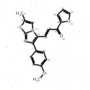 COc1ccc(-c2nc3sc(C)cn3c2C=CC(=O)c2ccco2)cc1